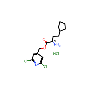 Cl.N[C@@H](CCC1CCCC1)C(=O)OCc1cc(Cl)nc(Cl)c1